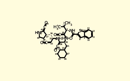 CC(C)[C@H](NC(=O)c1cc2ccccc2s1)C(=C=O)N[C@@H](CC1CCCCC1)C(=C=O)N[C@H](C=C=O)C[C@@H]1CCNC1=C=O